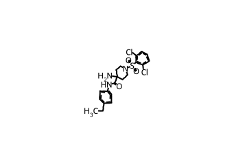 CCc1ccc(NC(=O)C2(N)CCN(S(=O)(=O)c3c(Cl)cccc3Cl)CC2)cc1